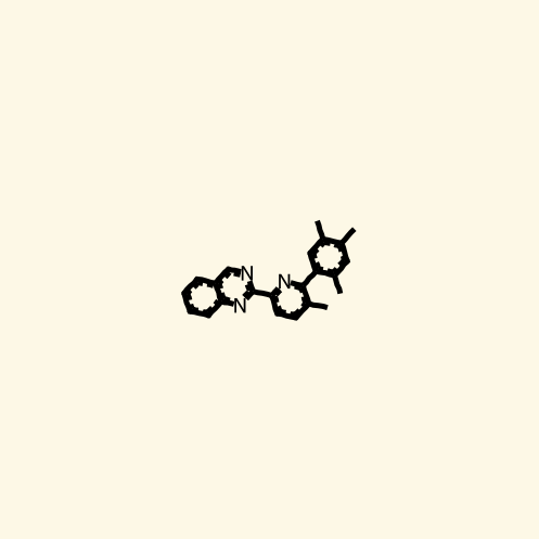 Cc1cc(C)c(-c2nc(-c3ncc4ccccc4n3)ccc2C)cc1C